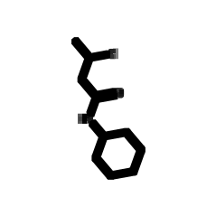 CC(Cl)CC(=O)NC1CCCCC1